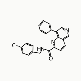 O=C(NCc1ccc(Cl)cc1)c1ccc2cncc(-c3ccccc3)c2n1